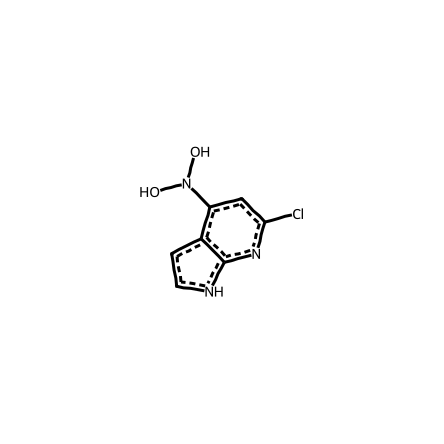 ON(O)c1cc(Cl)nc2[nH]ccc12